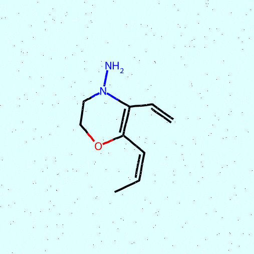 C=CC1=C(/C=C\C)OCCN1N